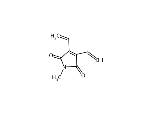 B=CC1=C(C=C)C(=O)N(C)C1=O